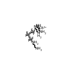 F[B-](F)(F)F.F[B-](F)(F)F.F[B-](F)(F)F.NCCCN.NCCCN.NCCCN.[Co+3]